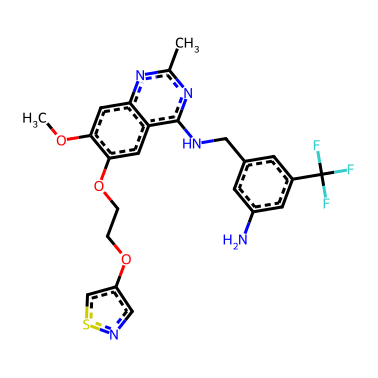 COc1cc2nc(C)nc(NCc3cc(N)cc(C(F)(F)F)c3)c2cc1OCCOc1cnsc1